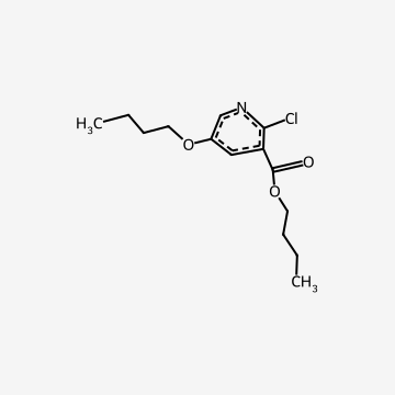 CCCCOC(=O)c1cc(OCCCC)cnc1Cl